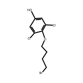 Oc1cc(Cl)c(OCCCCBr)c(Cl)c1